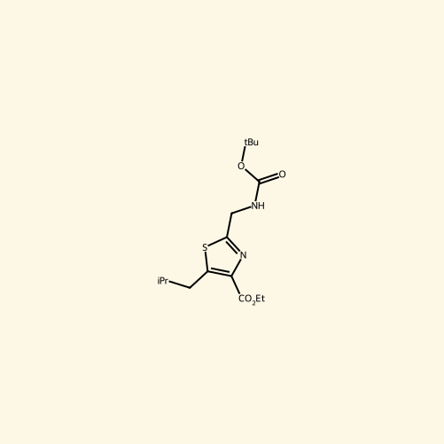 CCOC(=O)c1nc(CNC(=O)OC(C)(C)C)sc1CC(C)C